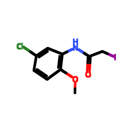 COc1ccc(Cl)cc1NC(=O)CI